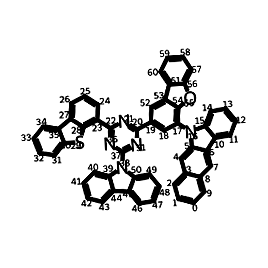 c1ccc2cc3c(cc2c1)c1ccccc1n3-c1cc(-c2nc(-c3cccc4c3sc3ccccc34)nc(-n3c4ccccc4c4ccccc43)n2)cc2c1oc1ccccc12